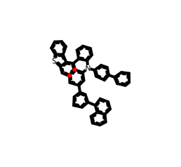 c1ccc(-c2ccc(N(c3cccc(-c4cccc(-c5cccc6ccccc56)c4)c3)c3ccccc3-c3cccc4sc5ccccc5c34)cc2)cc1